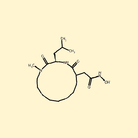 CC(C)C[C@H]1NC(=O)C(CC(=O)NO)CCCCCCCCN(C)C1=O